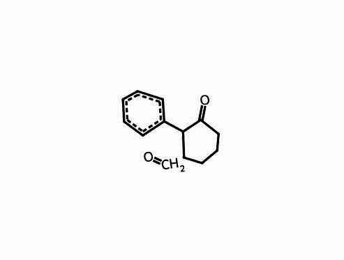 C=O.O=C1CCCCC1c1ccccc1